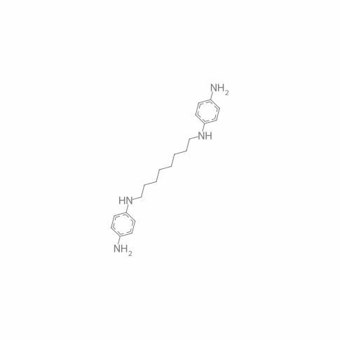 Nc1ccc(NCCCCCCCCNc2ccc(N)cc2)cc1